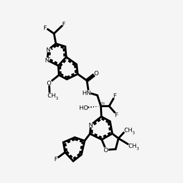 COc1cc(C(=O)NC[C@](O)(c2cc3c(c(-c4ccc(F)cc4)n2)OCC3(C)C)C(F)F)cc2cc(C(F)F)nnc12